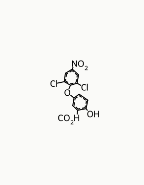 O=C(O)c1cc(Oc2c(Cl)cc([N+](=O)[O-])cc2Cl)ccc1O